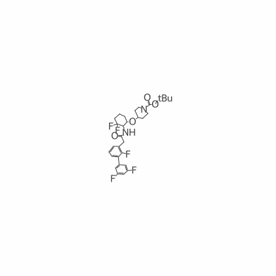 CC(C)(C)OC(=O)N1CCC(O[C@H]2CCCC(F)(F)[C@@H]2NC(=O)Cc2cccc(-c3cc(F)cc(F)c3)c2F)CC1